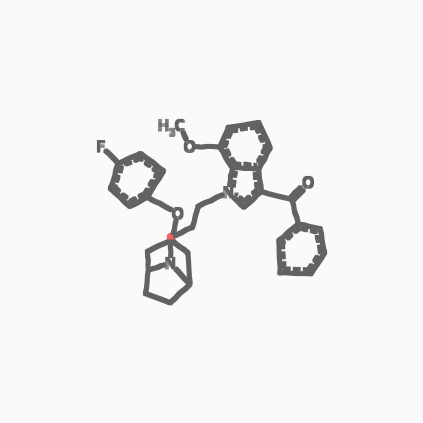 COc1cccc2c(C(=O)c3ccccc3)cn(CCCN3C4CCC3CC(Oc3ccc(F)cc3)C4)c12